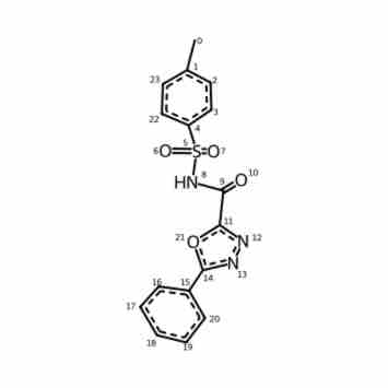 Cc1ccc(S(=O)(=O)NC(=O)c2nnc(-c3ccccc3)o2)cc1